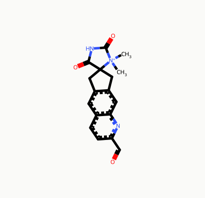 C[N+]1(C)C(=O)NC(=O)C12Cc1cc3ccc(C=O)nc3cc1C2